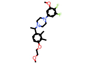 COCCOc1ccc(C(C)N2CCN(c3cc(F)c(F)c(OC)c3)CC2)c(C)c1C